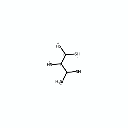 [SiH3]C(S)C(S)C(S)S